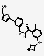 Cc1ccc(NC2CNC2)cc1C(=O)N[C@H](C)c1cccc(-c2ccc(CO)s2)c1